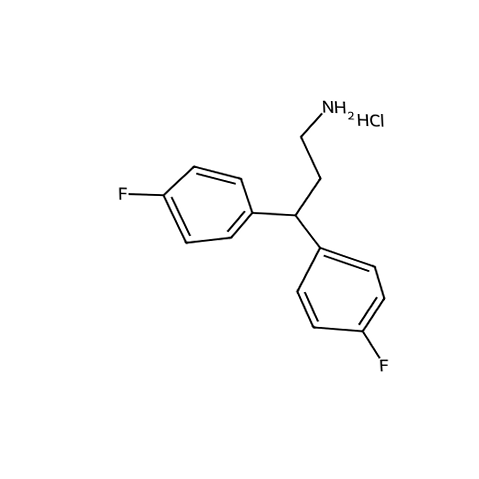 Cl.NCCC(c1ccc(F)cc1)c1ccc(F)cc1